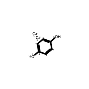 Oc1ccc(O)cc1.[Ca].[Ca]